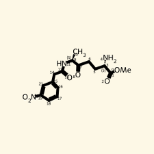 COC(=O)[C@@H](N)CCC(=O)[C@H](C)NC(=O)Cc1cccc([N+](=O)[O-])c1